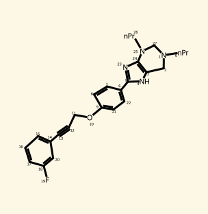 CCCN1Cc2[nH]c(-c3ccc(OCC#Cc4cccc(F)c4)cc3)nc2N(CCC)C1